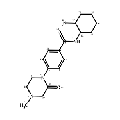 CN1CCN(c2ccc(C(=O)NC3CCCCC3N)cc2)C(=O)C1